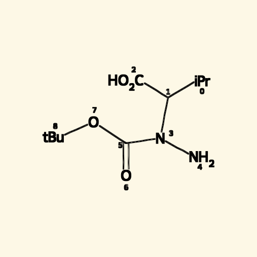 CC(C)C(C(=O)O)N(N)C(=O)OC(C)(C)C